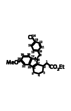 CCOC(=O)CC1CCCc2c1n(Cc1ccc(Cl)cc1)c1ccc(OC)cc21